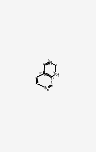 C1=NCNc2cnccc21